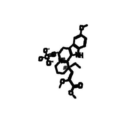 CC[C@@]1(C=C(OC)C(=O)OC)CCC[N+]2=C1c1[nH]c3ccc(OC)cc3c1CC2.[O-][Cl+3]([O-])([O-])[O-]